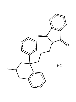 CN1Cc2ccccc2C(CCCN2C(=O)c3ccccc3C2=O)(c2ccccc2)C1.Cl